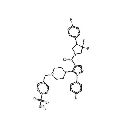 NS(=O)(=O)c1ccc(CN2CCC(c3c(C(=O)N4CC(c5ccc(F)cc5)C(F)(F)C4)cnn3-c3ccc(F)cc3)CC2)cc1